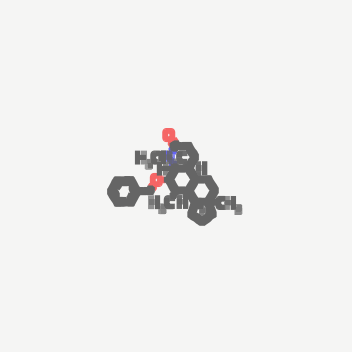 C[C@H]1[C@@H](OCc2ccccc2)[C@H]2N(C)C(=O)CC[C@]2(C)[C@H]2CC[C@]3(C)CCC[C@H]3[C@H]12